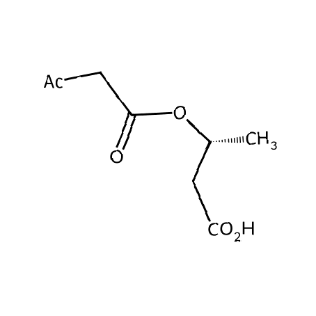 CC(=O)CC(=O)O[C@H](C)CC(=O)O